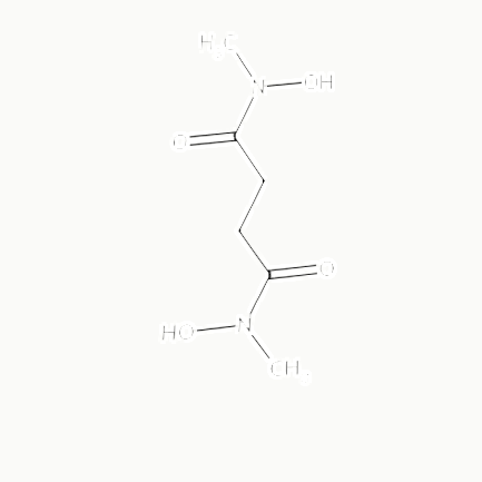 CN(O)C(=O)CCC(=O)N(C)O